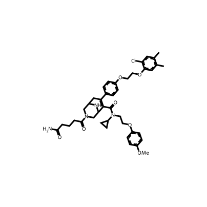 COc1ccc(OCCN(C(=O)C2=C(c3ccc(OCCOc4cc(C)c(C)cc4Cl)cc3)CC3CN(C(=O)CCCC(N)=O)CC2N3)C2CC2)cc1